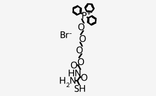 NC(CS)C(=O)NCC(=O)OCCOCCOCCOCC[P+](c1ccccc1)(c1ccccc1)c1ccccc1.[Br-]